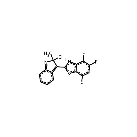 CC1(C)N=c2ccccc2=C1c1nc2c(F)c(F)cc(F)c2s1